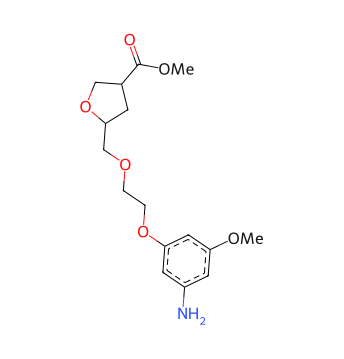 COC(=O)C1COC(COCCOc2cc(N)cc(OC)c2)C1